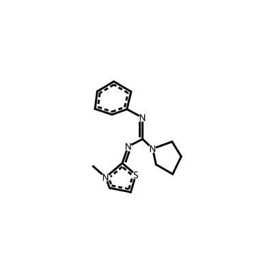 Cn1ccsc1=NC(=Nc1ccccc1)N1CCCC1